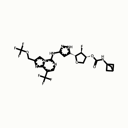 O=C(NC12CC(C1)C2)O[C@@H]1CO[C@H](c2cc(Nc3ncc(C(F)(F)F)c4nc(COC(F)(F)F)cn34)n[nH]2)[C@H]1F